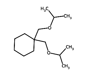 CC(C)OCC1(COC(C)C)CCCCC1